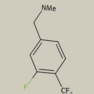 CNCc1ccc(C(F)(F)F)c(F)c1